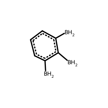 Bc1cccc(B)c1B